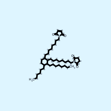 CCCCCCCCC1C(CCCCCC)CCC(CCCCCCCCN2C(=O)C=CC2=O)C1CCCCCCCCN1C(=O)CCC1=O